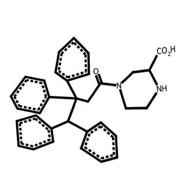 O=C(O)C1CN(C(=O)CC(c2ccccc2)(c2ccccc2)C(c2ccccc2)c2ccccc2)CCN1